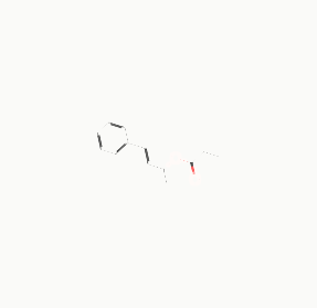 CCC(=O)OC(C)/C=C/c1ccccc1